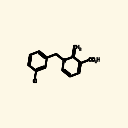 C=C1C(C(=O)O)=CC=CN1Cc1cccc(Cl)c1